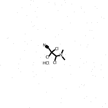 CN(C)C(Cl)C(Cl)(Cl)C#N.Cl